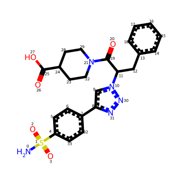 NS(=O)(=O)c1ccc(-c2cn(C(Cc3ccccc3)C(=O)N3CCC(C(=O)O)CC3)nn2)cc1